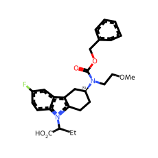 CCC(C(=O)O)n1c2c(c3cc(F)ccc31)C[C@@H](N(CCOC)C(=O)OCc1ccccc1)CC2